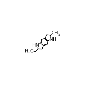 CCC1Cc2cc3c(cc2N1)CC(C)N3